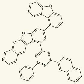 c1ccc(-c2nc(-c3ccc4ccccc4c3)nc(-c3cc(-c4cccc5oc6ccccc6c45)cc4oc5cc6cnccc6cc5c34)n2)cc1